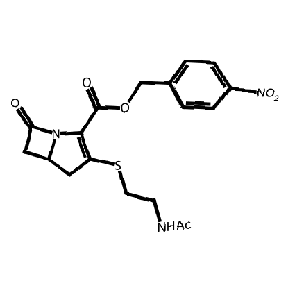 CC(=O)NCCSC1=C(C(=O)OCc2ccc([N+](=O)[O-])cc2)N2C(=O)CC2C1